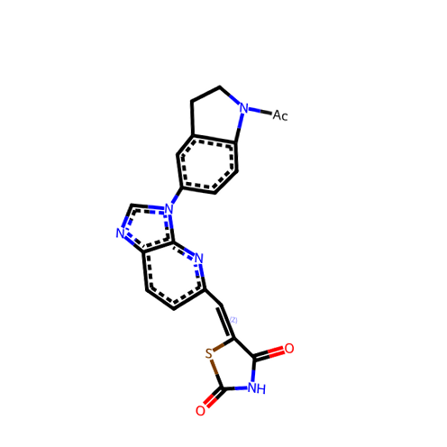 CC(=O)N1CCc2cc(-n3cnc4ccc(/C=C5\SC(=O)NC5=O)nc43)ccc21